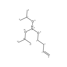 C=CCCO[SiH](OC(C)C)OC(C)C